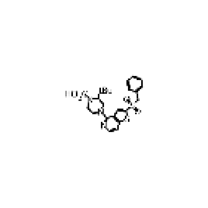 CC(C)(C)C1CN(c2nccc3sc(S(=O)(=O)Cc4ccccc4)cc23)CCN1C(=O)O